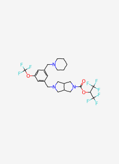 O=C(OC(C(F)(F)F)C(F)(F)F)N1CC2CN(Cc3cc(CN4CCCCC4)cc(OC(F)(F)F)c3)CC2C1